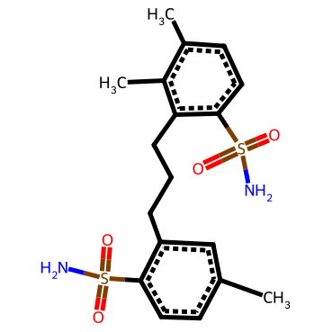 Cc1ccc(S(N)(=O)=O)c(CCCc2c(S(N)(=O)=O)ccc(C)c2C)c1